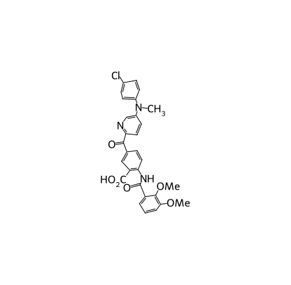 COc1cccc(C(=O)Nc2ccc(C(=O)c3ccc(N(C)c4ccc(Cl)cc4)cn3)cc2C(=O)O)c1OC